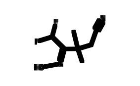 CC(C)(CC#N)C(=NO)C(F)F